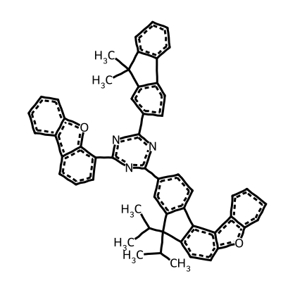 CC(C)C1(C(C)C)c2cc(-c3nc(-c4ccc5c(c4)C(C)(C)c4ccccc4-5)nc(-c4cccc5c4oc4ccccc45)n3)ccc2-c2c1ccc1oc3ccccc3c21